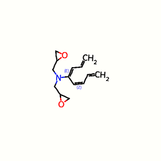 C=C/C=C\C(=C/C=C)N(CC1CO1)CC1CO1